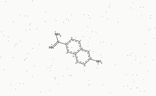 N=C(N)c1ccc2cc(N)ccc2c1